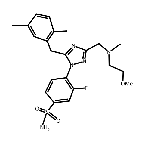 COCCN(C)Cc1nc(Cc2cc(C)ccc2C)n(-c2ccc(S(N)(=O)=O)cc2F)n1